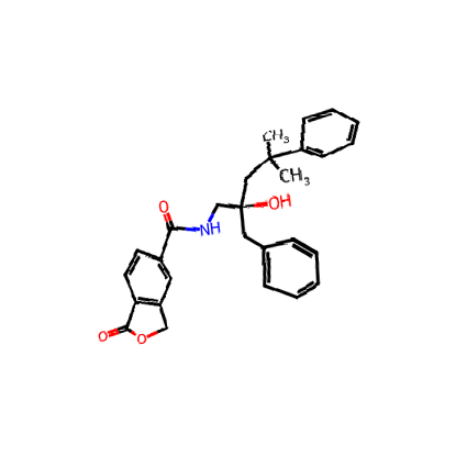 CC(C)(C[C@@](O)(CNC(=O)c1ccc2c(c1)COC2=O)Cc1ccccc1)c1ccccc1